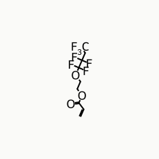 C=CC(=O)OCCOC(F)(F)C(F)(F)CC(F)(F)F